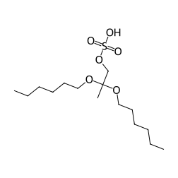 CCCCCCOC(C)(COS(=O)(=O)O)OCCCCCC